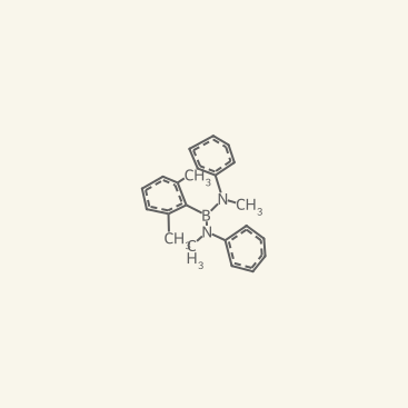 Cc1cccc(C)c1B(N(C)c1ccccc1)N(C)c1ccccc1